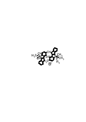 Cc1ccc2c(c3c(n2[Si](C)(C)C)-c2ccccc2C3)[c]1[Zr+2][c]1c(C)ccc2c1c1c(n2[Si](C)(C)C)-c2ccccc2C1.[Cl-].[Cl-]